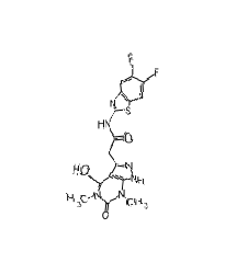 CN1C(=O)N(C)C(O)c2c(CC(=O)Nc3nc4cc(F)c(F)cc4s3)n[nH]c21